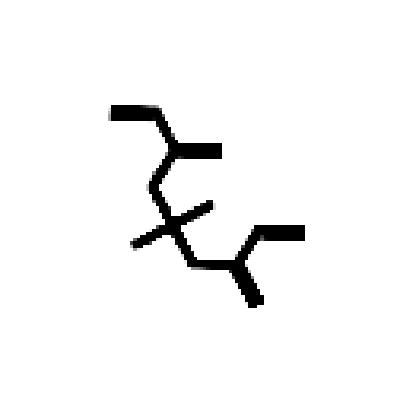 C=CC(=C)C[Si](C)(C)CC(=C)C=C